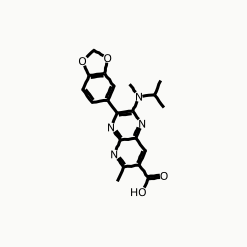 Cc1nc2nc(-c3ccc4c(c3)OCO4)c(N(C)C(C)C)nc2cc1C(=O)O